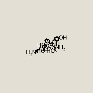 C[C@@H](O)[C@H](N)C(=O)N[C@@H](Cc1ccc(O)cc1)C(=O)N1CCC[C@H]1C(=O)N[C@@H](CCCCN)C(=O)O